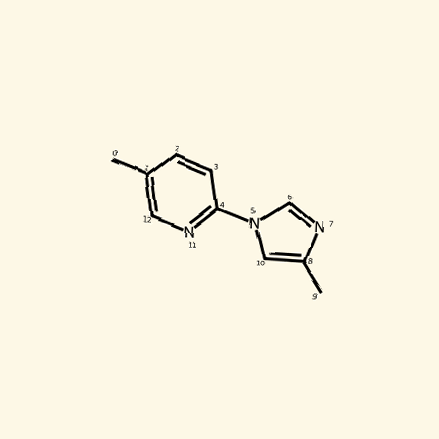 Cc1ccc(-n2cnc(C)c2)nc1